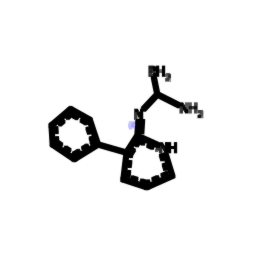 BC(N)/N=c1\[nH]cccc1-c1ccccc1